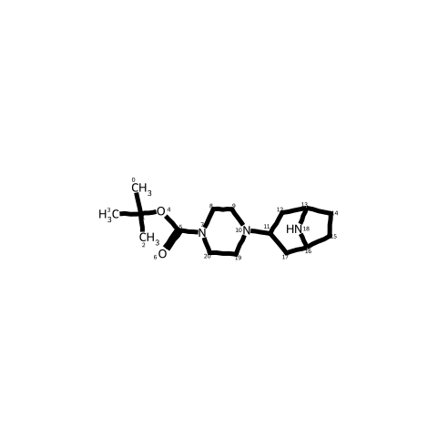 CC(C)(C)OC(=O)N1CCN(C2CC3CCC(C2)N3)CC1